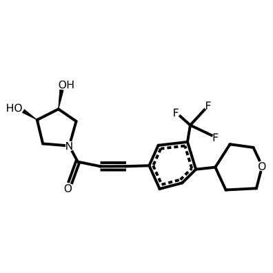 O=C(C#Cc1ccc(C2CCOCC2)c(C(F)(F)F)c1)N1C[C@@H](O)[C@@H](O)C1